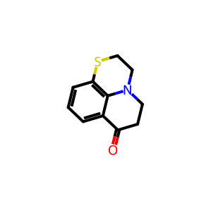 O=C1CCN2CCSc3cccc1c32